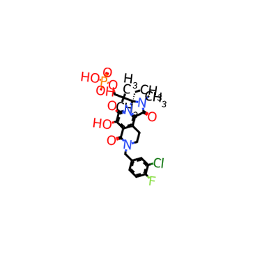 CC[C@]1(C(C)(C)COP(=O)(O)O)N(C)C(=O)c2c3c(c(O)c(=O)n21)C(=O)N(Cc1ccc(F)c(Cl)c1)CC3